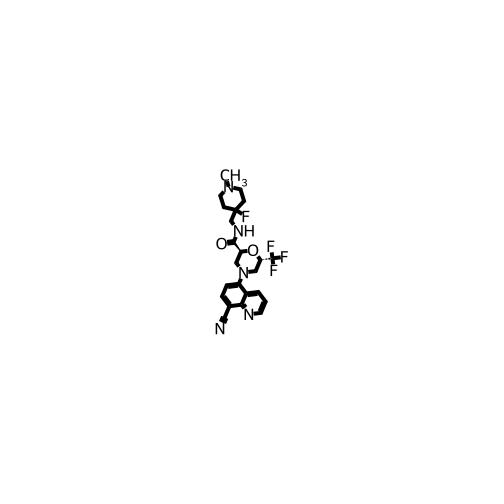 CN1CCC(F)(CNC(=O)[C@@H]2CN(c3ccc(C#N)c4ncccc34)C[C@@H](C(F)(F)F)O2)CC1